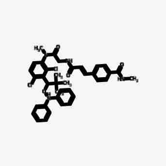 CNC(=O)c1ccc(C=CC(=O)NCC(=O)N(C)c2ccc(Cl)c(C(O[SiH](c3ccccc3)c3ccccc3)C(C)(C)C)c2Cl)cc1